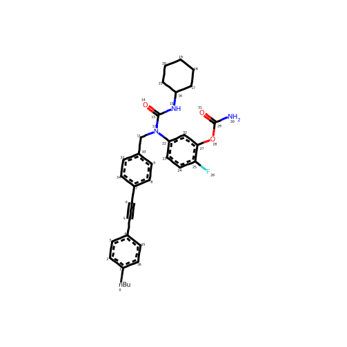 CCCCc1ccc(C#Cc2ccc(CN(C(=O)NC3CCCCC3)c3ccc(F)c(OC(N)=O)c3)cc2)cc1